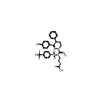 [H]/N=C(/N1CCC(c2ccccc2)C(c2ccc(Cl)cc2)=N1)N(CCCC(=O)O)S(=O)(=O)c1ccc(C(F)(F)F)cc1